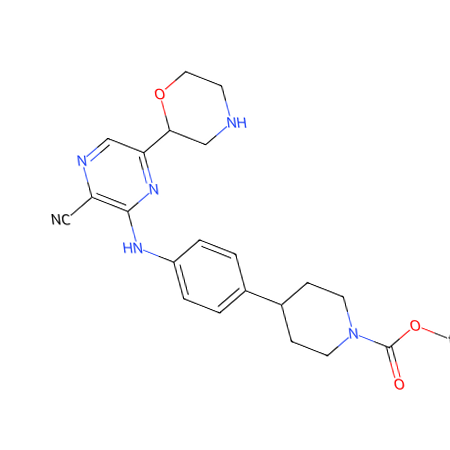 CC(C)(C)OC(=O)N1CCC(c2ccc(Nc3nc(C4CNCCO4)cnc3C#N)cc2)CC1